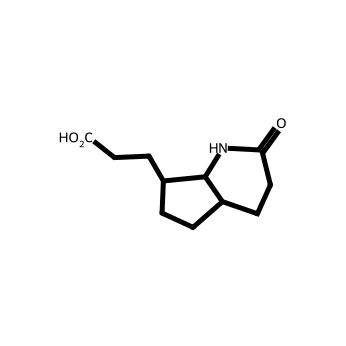 O=C(O)CCC1CCC2CCC(=O)NC12